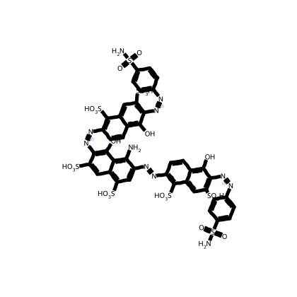 Nc1c(N=Nc2ccc3c(O)c(/N=N\c4ccc(S(N)(=O)=O)cc4)c(S(=O)(=O)O)cc3c2S(=O)(=O)O)cc(S(=O)(=O)O)c2cc(S(=O)(=O)O)c(/N=N\c3ccc4c(O)c(/N=N\c5ccc(S(N)(=O)=O)cc5)c(S(=O)(=O)O)cc4c3S(=O)(=O)O)c(O)c12